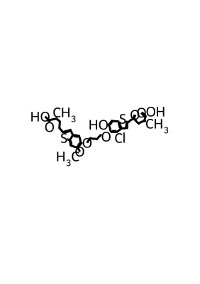 COc1cc2sc(CCC(C)C(=O)O)cc2cc1OCCCOc1c(O)cc2sc(C(=O)CC(C)C(=O)O)cc2c1Cl